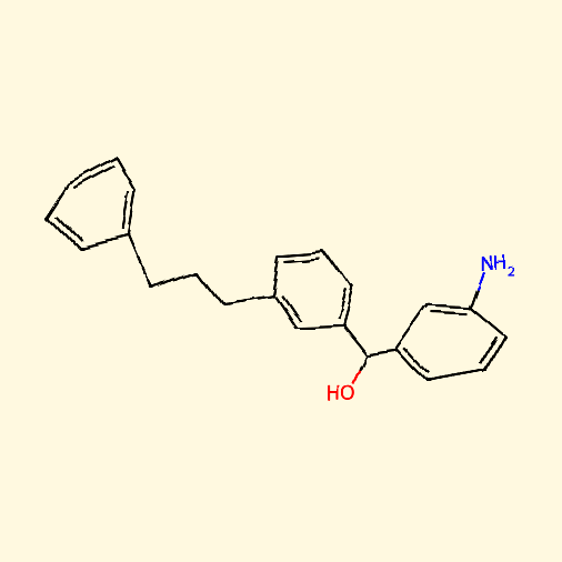 Nc1cccc(C(O)c2cccc(CCCc3ccccc3)c2)c1